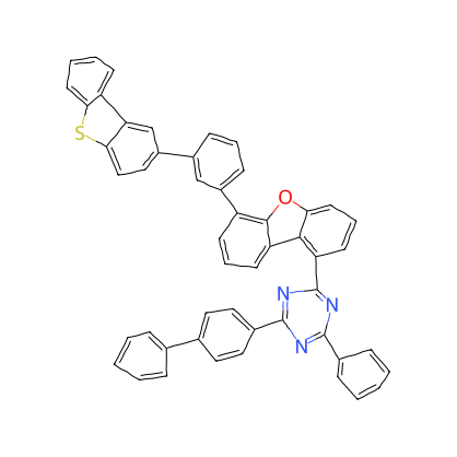 c1ccc(-c2ccc(-c3nc(-c4ccccc4)nc(-c4cccc5oc6c(-c7cccc(-c8ccc9sc%10ccccc%10c9c8)c7)cccc6c45)n3)cc2)cc1